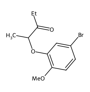 CCC(=O)C(C)Oc1cc(Br)ccc1OC